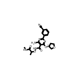 CNC(=O)C(C)ONC(=O)c1c(N)nc(-c2cccc(C#N)c2)nc1O[C@H]1CCOC1